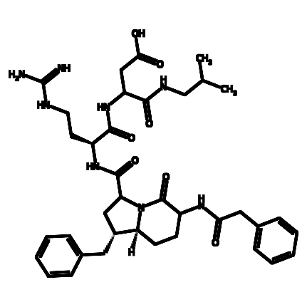 CC(C)CNC(=O)C(CC(=O)O)NC(=O)[C@H](CCNC(=N)N)NC(=O)C1C[C@@H](Cc2ccccc2)[C@@H]2CCC(NC(=O)Cc3ccccc3)C(=O)N12